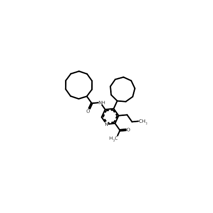 CCCc1c(C(C)=O)ncc(NC(=O)C2CCCCCCCCC2)c1C1CCCCCCCC1